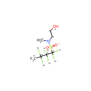 CN(CCO)S(=O)(=O)C(F)(F)C(F)(F)C(F)(F)C(F)(F)F